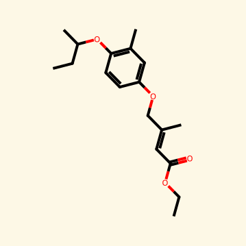 CCOC(=O)/C=C(\C)COc1ccc(OC(C)CC)c(C)c1